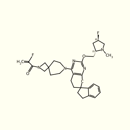 C=C(F)C(=O)N1CC2(CCN(c3nc(OC[C@@H]4C[C@@H](F)CN4C)nc4c3CCC3(CCc5ccccc53)C4)CC2)C1